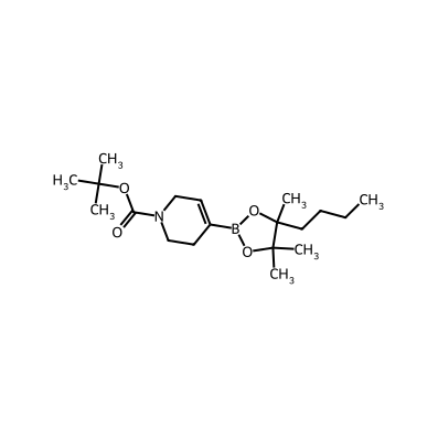 CCCCC1(C)OB(C2=CCN(C(=O)OC(C)(C)C)CC2)OC1(C)C